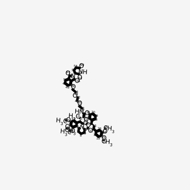 CC[C@H](C(=O)N1CCCC[C@H]1C(=O)O[C@H](CCc1ccc(OC)c(OC)c1)c1ccccc1OCC(=O)NCCOCCOCCOc1cccc2c1C(=O)N(C1CCC(=O)NC1=O)C2=O)c1cc(OC)c(OC)c(OC)c1